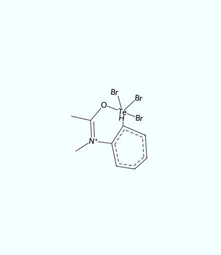 CC1=[N+](C)c2ccccc2[TeH](Br)(Br)(Br)O1